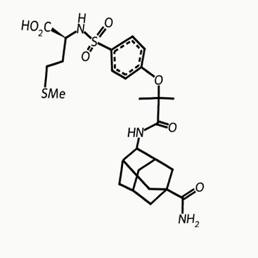 CSCC[C@H](NS(=O)(=O)c1ccc(OC(C)(C)C(=O)NC2C3CC4CC2CC(C(N)=O)(C4)C3)cc1)C(=O)O